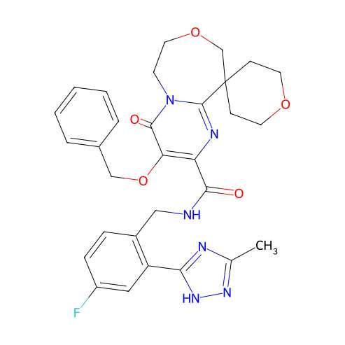 Cc1n[nH]c(-c2cc(F)ccc2CNC(=O)c2nc3n(c(=O)c2OCc2ccccc2)CCOCC32CCOCC2)n1